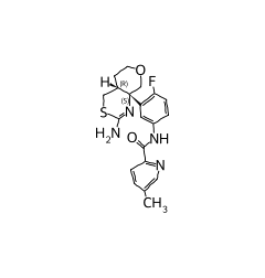 Cc1ccc(C(=O)Nc2ccc(F)c([C@]34COCC[C@H]3CSC(N)=N4)c2)nc1